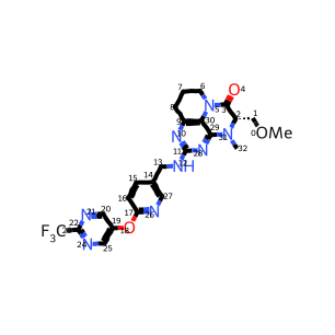 COC[C@H]1C(=O)N2CCCc3nc(NCc4ccc(Oc5cnc(C(F)(F)F)nc5)nc4)nc(c32)N1C